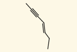 CC#CC=CCC